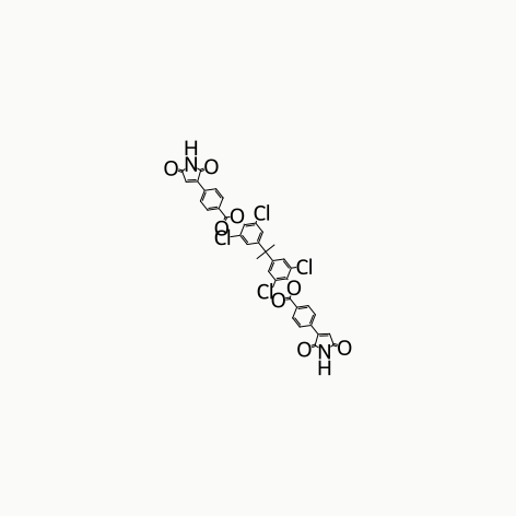 CC(C)(c1cc(Cl)c(OC(=O)c2ccc(C3=CC(=O)NC3=O)cc2)c(Cl)c1)c1cc(Cl)c(OC(=O)c2ccc(C3=CC(=O)NC3=O)cc2)c(Cl)c1